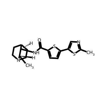 Cc1ncc(-c2ccc(C(=O)N[C@@H]3C4CCN(CC4)[C@H]3C)s2)s1